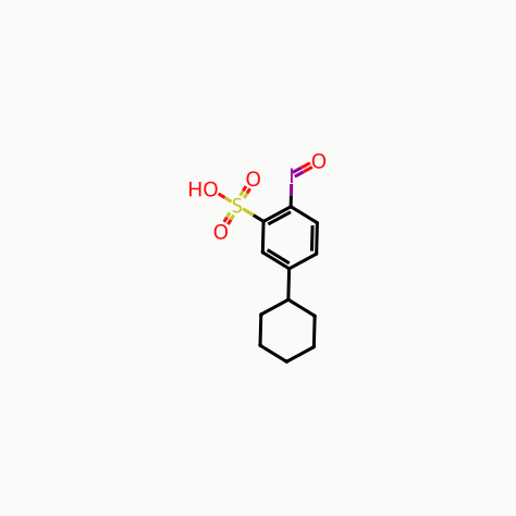 O=Ic1ccc(C2CCCCC2)cc1S(=O)(=O)O